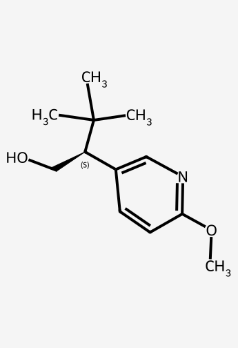 COc1ccc([C@@H](CO)C(C)(C)C)cn1